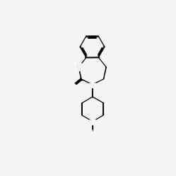 CN1CCC(N2CCc3ccccc3NC2=O)CC1